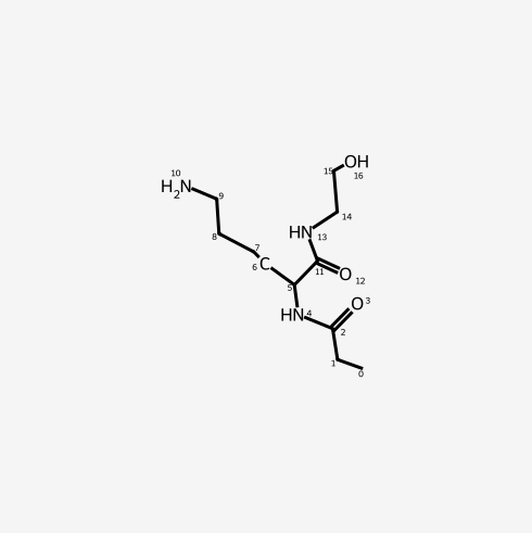 CCC(=O)NC(CCCCN)C(=O)NCCO